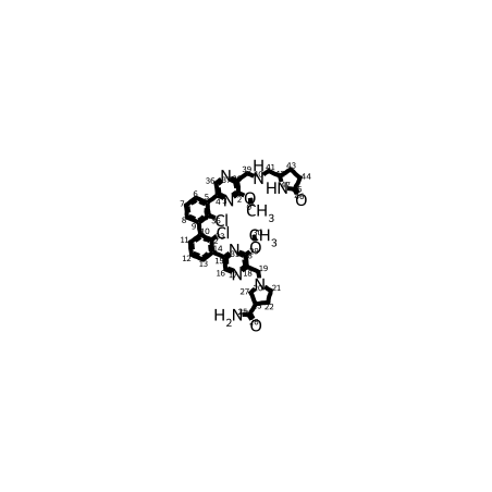 COc1nc(-c2cccc(-c3cccc(-c4cnc(CN5CCC(C(N)=O)C5)c(OC)n4)c3Cl)c2Cl)cnc1CNCC1CCC(=O)N1